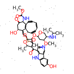 COC(=O)NC1C(=O)C[C@H](O)/C(=C/CSC(C)=O)C2=C1C#C/C=C\C#C[C@@H]2OC1OC(C)C(C(=O)c2cncc3c2[nH]c2ccc(O)cc23)CC1OC1CC(OC)C(NC(C)C)CO1